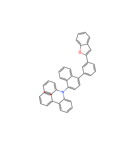 c1ccc(-c2ccccc2N(c2ccccc2)c2ccc(-c3cccc(-c4cc5ccccc5o4)c3)c3ccccc23)cc1